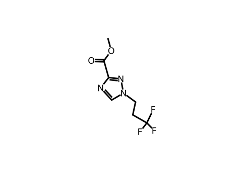 COC(=O)c1ncn(CCC(F)(F)F)n1